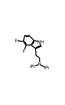 CC(C)N(CCc1c[nH]c2ccc(F)c(F)c12)C(C)C